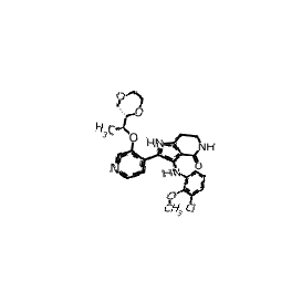 COc1c(Cl)cccc1Nc1c(-c2ccncc2O[C@@H](C)[C@@H]2COCCO2)[nH]c2c1C(=O)NCC2